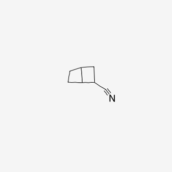 N#CC1CC2CCC12